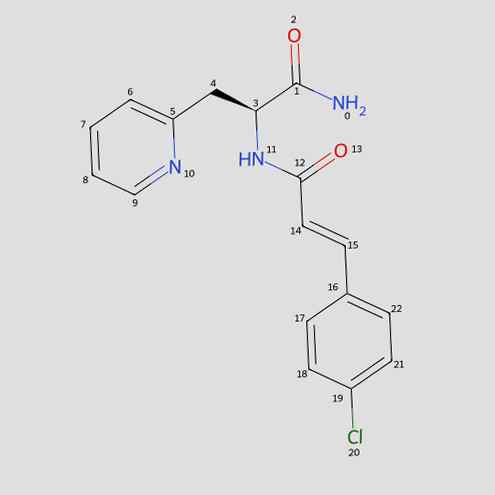 NC(=O)[C@H](Cc1ccccn1)NC(=O)/C=C/c1ccc(Cl)cc1